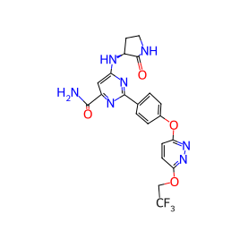 NC(=O)c1cc(N[C@H]2CCNC2=O)nc(-c2ccc(Oc3ccc(OCC(F)(F)F)nn3)cc2)n1